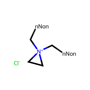 CCCCCCCCCC[N+]1(CCCCCCCCCC)CC1.[Cl-]